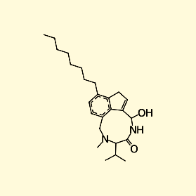 CCCCCCCCc1ccc2c3c1CC=C3C(O)NC(=O)C(C(C)C)N(C)C2